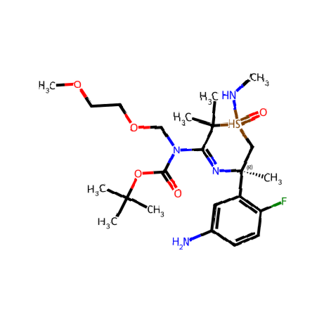 CN[SH]1(=O)C[C@@](C)(c2cc(N)ccc2F)N=C(N(COCCOC)C(=O)OC(C)(C)C)C1(C)C